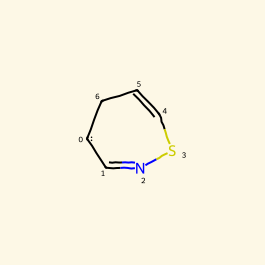 [C]1C=NSC=CC1